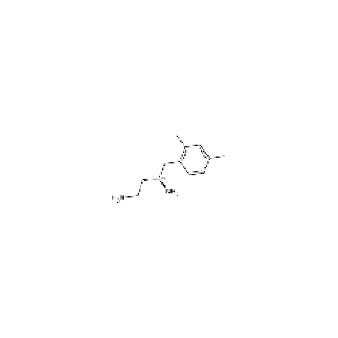 Cc1ccc(C[C@@H](N)CCN)c(C)c1